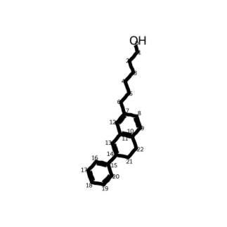 OCCCCCCc1ccc2c(c1)C=C(c1ccccc1)CC2